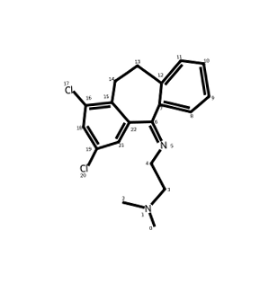 CN(C)CCN=C1c2ccccc2CCc2c(Cl)cc(Cl)cc21